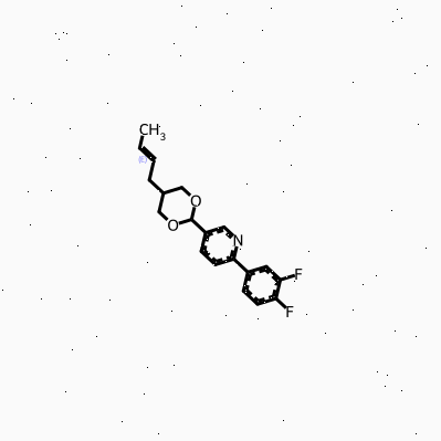 C/C=C/CC1COC(c2ccc(-c3ccc(F)c(F)c3)nc2)OC1